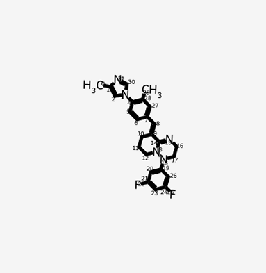 Cc1cn(-c2ccc(/C=C3\CCCN4C3=NCCN4c3cc(F)cc(F)c3)cc2C)cn1